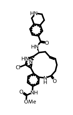 COC(=O)Nc1ccc2c(c1)NC(=O)CC/C=C/C[C@H](NC(=O)c1ccc3c(c1)CCNC3)c1nc-2c(Cl)[nH]1